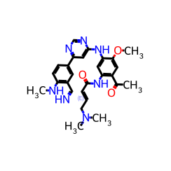 CNc1ccc(-c2cc(Nc3cc(NC(=O)/C=C/CN(C)C)c(C(C)=O)cc3OC)ncn2)cc1C=N